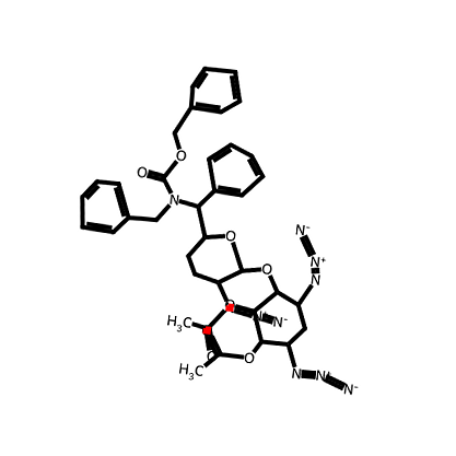 CC(=O)OC1C(N=[N+]=[N-])CC(N=[N+]=[N-])C(OC2OC(C(c3ccccc3)N(Cc3ccccc3)C(=O)OCc3ccccc3)CCC2N=[N+]=[N-])C1OC(C)=O